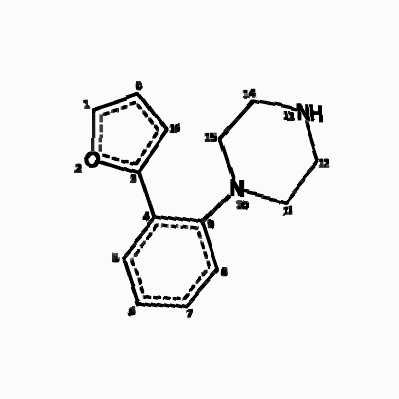 c1coc(-c2ccccc2N2CCNCC2)c1